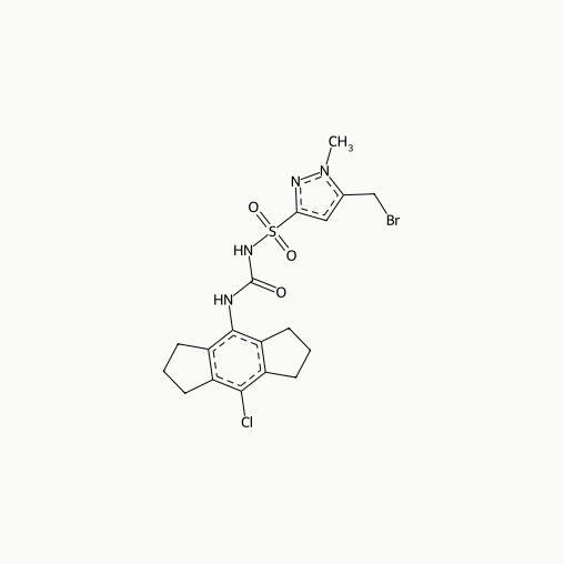 Cn1nc(S(=O)(=O)NC(=O)Nc2c3c(c(Cl)c4c2CCC4)CCC3)cc1CBr